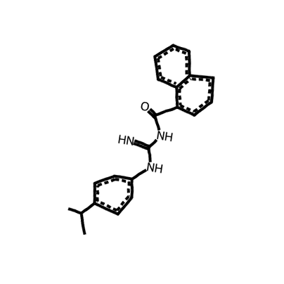 CC(C)c1ccc(NC(=N)NC(=O)c2cccc3ccccc23)cc1